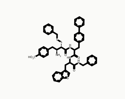 N[C@@H](Cc1ccc(C(=O)O)cc1)[C@H](SSCc1ccccc1)C(=O)NC(Cc1ccc(-c2ccccc2)cc1)C(=O)NC(Cc1csc2ccccc12)C(=O)NCc1ccccc1